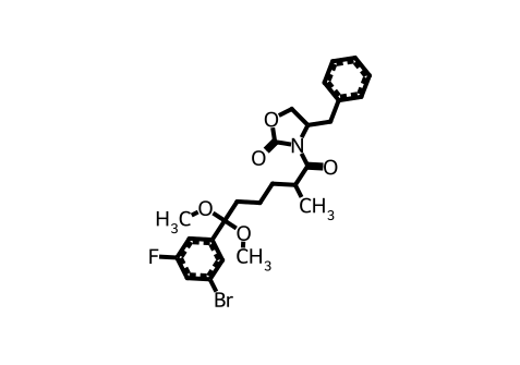 COC(CCCC(C)C(=O)N1C(=O)OCC1Cc1ccccc1)(OC)c1cc(F)cc(Br)c1